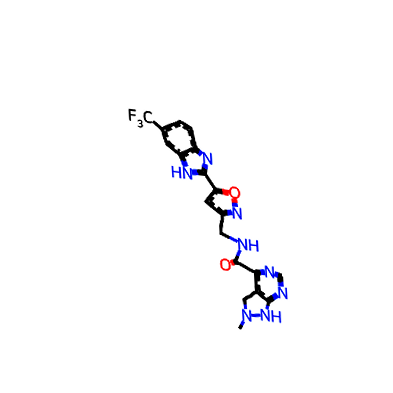 CN1Cc2c(ncnc2C(=O)NCc2cc(-c3nc4ccc(C(F)(F)F)cc4[nH]3)on2)N1